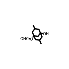 CC1CC2(O)CC(C)CC(OC=O)(C1)C2